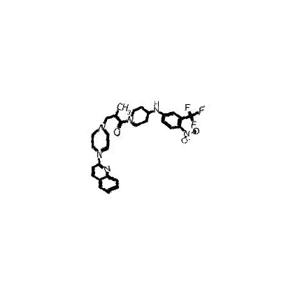 CC(CN1CCN(c2ccc3ccccc3n2)CC1)C(=O)N1CCC(Nc2ccc([N+](=O)[O-])c(C(F)(F)F)c2)CC1